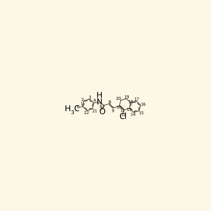 Cc1ccc(NC(=O)C=CC2=C(Cl)c3ccccc3CC2)cc1